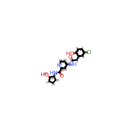 O=C(Cc1cc(Cl)ccc1O)Nc1ccnc(C(=O)NC2CCCC2O)c1